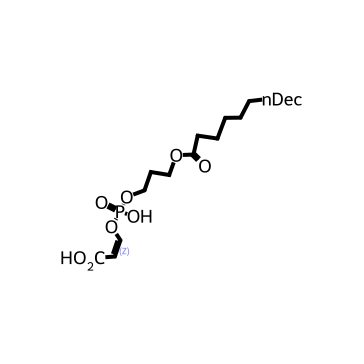 CCCCCCCCCCCCCCCC(=O)OCCCOP(=O)(O)O/C=C\C(=O)O